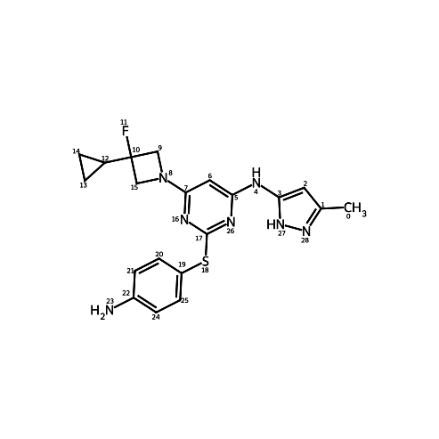 Cc1cc(Nc2cc(N3CC(F)(C4CC4)C3)nc(Sc3ccc(N)cc3)n2)[nH]n1